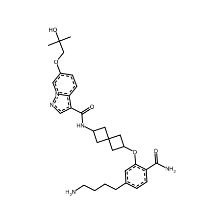 CC(C)(O)COc1ccc2c(C(=O)NC3CC4(C3)CC(Oc3cc(CCCCN)ccc3C(N)=O)C4)cnn2c1